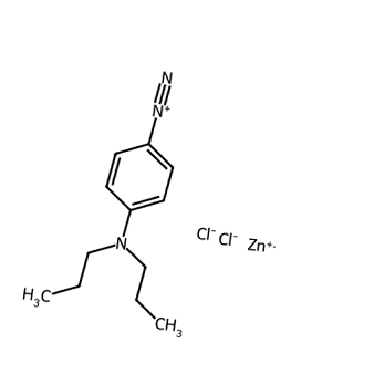 CCCN(CCC)c1ccc([N+]#N)cc1.[Cl-].[Cl-].[Zn+]